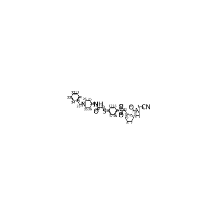 N#CCNC(=O)[C@@H]1CCCC[C@H]1CS(=O)(=O)c1ccc(SCC(=O)NC2CCN(Cc3ccccc3)CC2)cc1